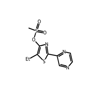 CCc1sc(-c2cnccn2)nc1OS(C)(=O)=O